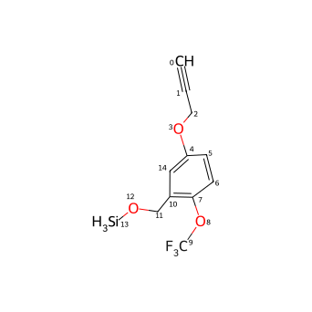 C#CCOc1ccc(OC(F)(F)F)c(CO[SiH3])c1